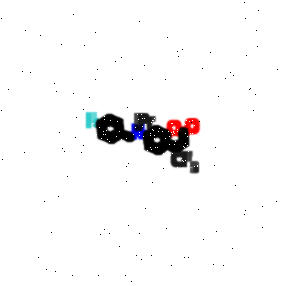 CC(C)N(Cc1ccc(F)cc1)c1ccc2c(C(F)(F)F)cc(=O)oc2c1